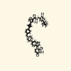 CC(C)(c1n[nH]c(CNC(=O)c2cc(C34CC(c5ccc(CN6CCN(c7cnc8c(N9CCC(=O)NC9=O)cnn8c7)CC6)cc5)(C3)C4)no2)n1)C(F)(F)F